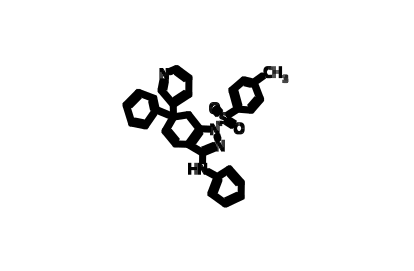 Cc1ccc(S(=O)(=O)n2nc(Nc3ccccc3)c3c2CC(c2ccccc2)(c2cccnc2)C=C3)cc1